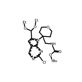 CCOC(OCC)c1cc2cnc(Cl)nc2n1C1(CNC(=O)OC(C)(C)C)CCOCC1